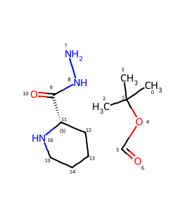 CC(C)(C)OC=O.NNC(=O)[C@@H]1CCCCN1